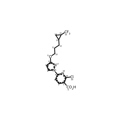 O=C(O)c1ccc(-n2ccc(OCCCC3CC3C(F)(F)F)n2)nc1Cl